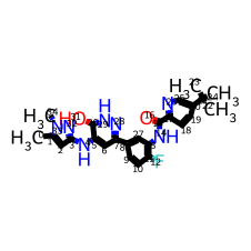 Cc1cc(NC2=CC(c3ccc(F)c(NC(=O)c4ccc(C(C)(C)C)cn4)c3)=NNC2O)nn1C